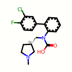 CN1CC[C@H](CN(C(=O)O)c2ccccc2-c2ccc(F)c(Cl)c2)C1